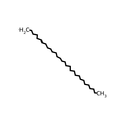 [CH2]CCCCC=CCCCCCCCCCCCCCCCCCCCCCCC